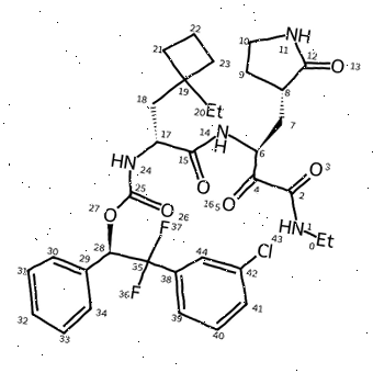 CCNC(=O)C(=O)[C@H](C[C@@H]1CCNC1=O)NC(=O)[C@@H](CC1(CC)CCC1)NC(=O)O[C@H](c1ccccc1)C(F)(F)c1cccc(Cl)c1